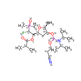 B[C@@H]1O[C@H](C(OC(=O)C(C)C)C(F)P(C)(C)=O)C[C@@H]1OP(OCCC#N)N(C(C)C)C(C)C